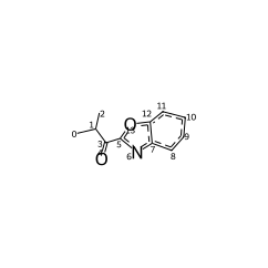 CC(C)C(=O)c1nc2ccccc2o1